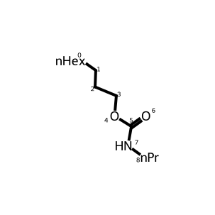 CCCCCCCCCOC(=O)NCCC